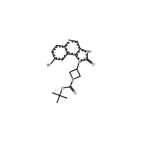 CC(C)(C)OC(=O)N1CC(n2c(=O)[nH]c3cnc4ccc(Br)cc4c32)C1